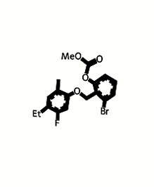 CCc1cc(C)c(OCc2c(Br)cccc2OC(=O)OC)cc1F